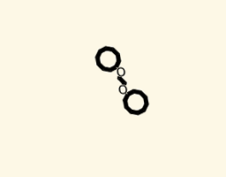 C1CCCCC(OCCOC2CCCCCCCCC2)CCCC1